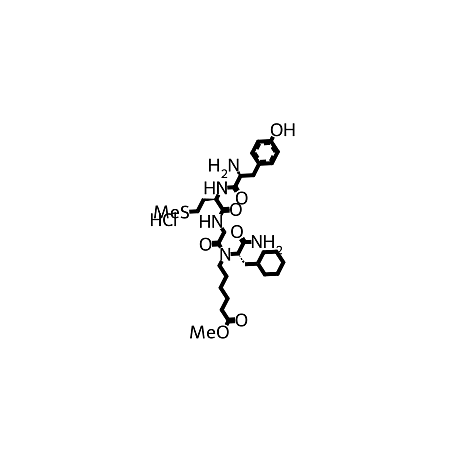 COC(=O)CCCCCN(C(=O)CNC(=O)[C@@H](CCSC)NC(=O)[C@@H](N)Cc1ccc(O)cc1)[C@@H](CC1CCCCC1)C(N)=O.Cl